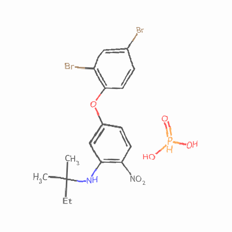 CCC(C)(C)Nc1cc(Oc2ccc(Br)cc2Br)ccc1[N+](=O)[O-].O=[PH](O)O